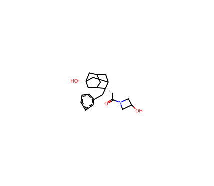 O=C(C[C@]1(Cc2ccccc2)C2CC3CC1C[C@](O)(C3)C2)N1CC(O)C1